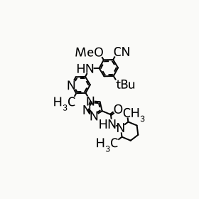 COc1c(C#N)cc(C(C)(C)C)cc1Nc1cnc(C)c(-n2cc(C(=O)NN3C(C)CCCC3C)nn2)c1